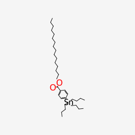 CCCCCCCCCCCCCCCCOC(=O)c1cc[c]([Sn]([CH2]CCC)([CH2]CCC)[CH2]CCC)cc1